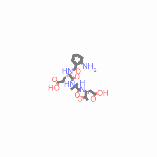 CC(=O)[C@H](CC(=O)O)NC(=O)C(C)(C)NC(=O)[C@H](CCC(=O)O)NC(=O)c1ccccc1N